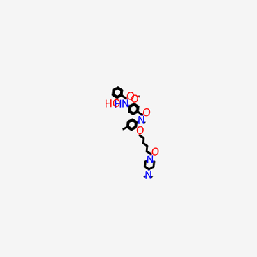 COc1cc(C(=O)N(C)c2ccc(C)cc2OCCCCCC(=O)N2CCC(N(C)C)CC2)ccc1NC(=O)c1ccccc1O